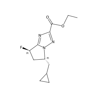 CCOC(=O)c1nc2n(n1)[C@H](CC1CC1)C[C@H]2F